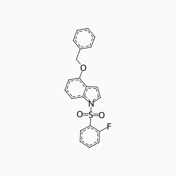 O=S(=O)(c1ccccc1F)n1ccc2c(OCc3ccccc3)cccc21